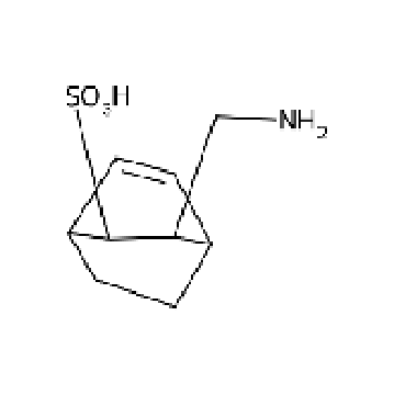 NCC1C2C=CC(CC2)C1S(=O)(=O)O